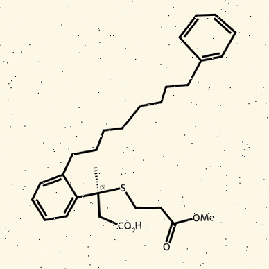 COC(=O)CCS[C@@](C)(CC(=O)O)c1ccccc1CCCCCCCCc1ccccc1